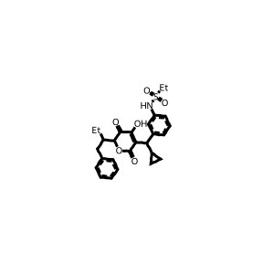 CCC(Cc1ccccc1)C1OC(=O)C(C(c2cccc(NS(=O)(=O)CC)c2)C2CC2)=C(O)C1=O